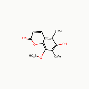 COc1c(O)c(OC)c2ccc(=O)oc2c1OS(=O)(=O)O